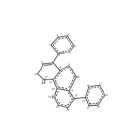 C1=C(c2ccccc2)c2ccc3c(-c4ccccc4)ccnc3c2NC1